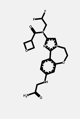 NC(=O)CNc1ccc2c(c1)OCCn1cc(N(CC(F)F)C(=O)C3COC3)nc1-2